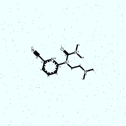 CN(C)CCN(C(=O)N(C)C)c1cccc(C#N)n1